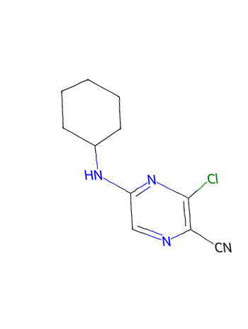 N#Cc1ncc(NC2CCCCC2)nc1Cl